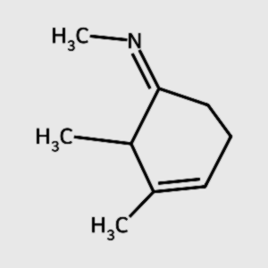 C/N=C1/CCC=C(C)C1C